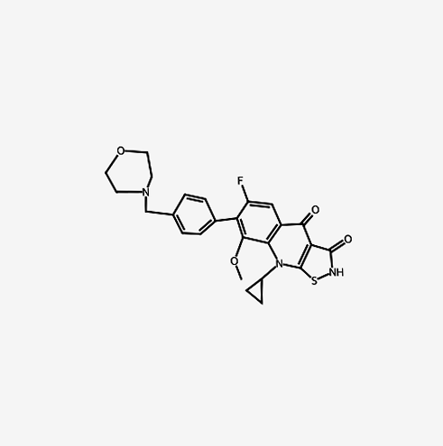 COc1c(-c2ccc(CN3CCOCC3)cc2)c(F)cc2c(=O)c3c(=O)[nH]sc3n(C3CC3)c12